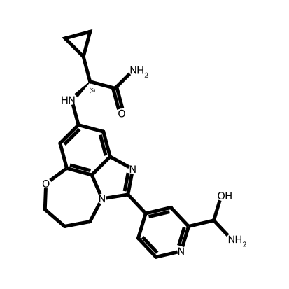 NC(=O)[C@@H](Nc1cc2c3c(c1)nc(-c1ccnc(C(N)O)c1)n3CCCO2)C1CC1